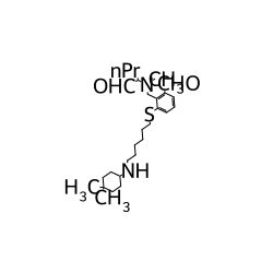 CCCC(C=O)N(C)Cc1c(C=O)cccc1SCCCCCCNC1CCC(C)(C)CC1